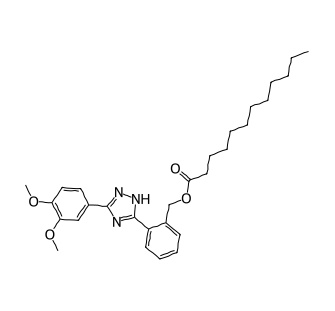 CCCCCCCCCCCC(=O)OCc1ccccc1-c1nc(-c2ccc(OC)c(OC)c2)n[nH]1